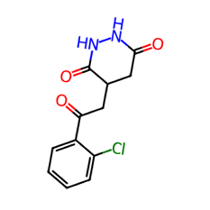 O=C1CC(CC(=O)c2ccccc2Cl)C(=O)NN1